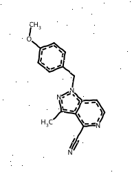 COc1ccc(Cn2nc(C)c3c(C#N)nccc32)cc1